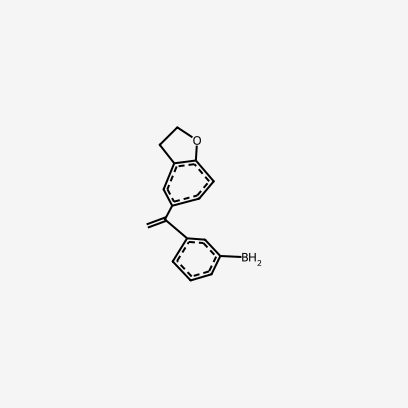 Bc1cccc(C(=C)c2ccc3c(c2)CCO3)c1